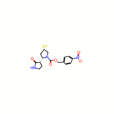 O=C1NCCC1[C@@H]1C[C@H](S)CN1C(=O)OCc1ccc([N+](=O)[O-])cc1